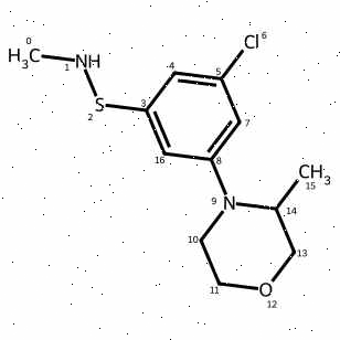 CNSc1cc(Cl)cc(N2CCOCC2C)c1